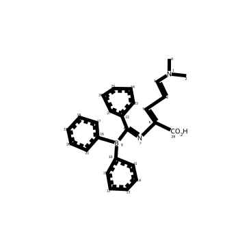 CN(C)C=CC=C(N=C(B(c1ccccc1)c1ccccc1)c1ccccc1)C(=O)O